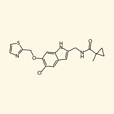 CC1(C(=O)NCc2cc3cc(Cl)c(OCc4nccs4)cc3[nH]2)CC1